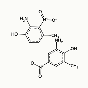 Cc1cc([N+](=O)[O-])cc(N)c1O.Cc1ccc(O)c(N)c1[N+](=O)[O-]